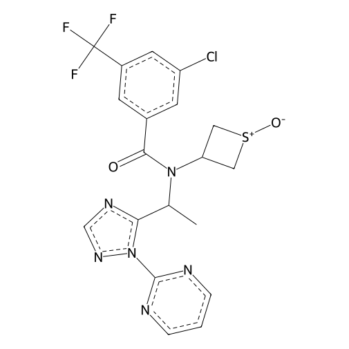 CC(c1ncnn1-c1ncccn1)N(C(=O)c1cc(Cl)cc(C(F)(F)F)c1)C1C[S+]([O-])C1